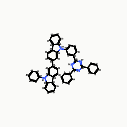 c1ccc(-c2nc(-c3ccccc3)nc(-c3cccc(-n4c5ccccc5c5ccc(-c6ccc7c8ccccc8n(-c8ccccc8)c7c6)cc54)c3)n2)cc1